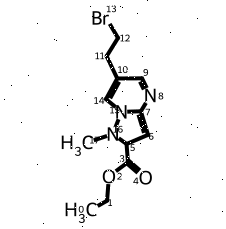 CCOC(=O)C1C=C2N=CC(CCBr)=CN2N1C